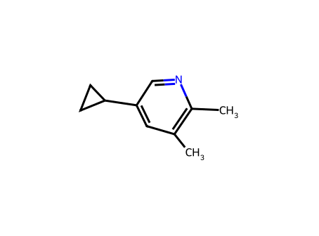 Cc1cc(C2CC2)cnc1C